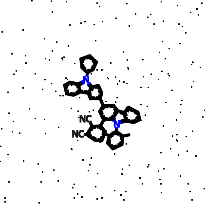 Cc1cccc(C)c1-n1c2ccccc2c2cc(-c3ccc4c(c3)c3ccccc3n4-c3ccccc3)cc(-c3cccc(C#N)c3C#N)c21